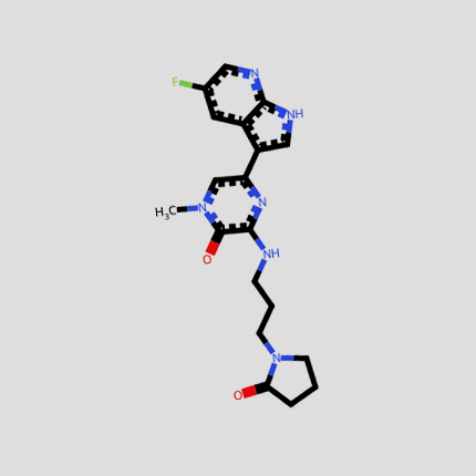 Cn1cc(-c2c[nH]c3ncc(F)cc23)nc(NCCCN2CCCC2=O)c1=O